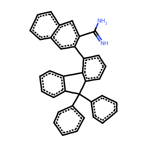 N=C(N)c1cc2ccccc2cc1-c1cccc2c1-c1ccccc1C2(c1ccccc1)c1ccccc1